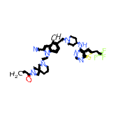 C=CC(=O)N1CC2(CCCN(CCn3c(C#N)cc4c(C)c(CN5CCC(Nc6ncnc7sc(CC(F)(F)F)cc67)CC5)ccc43)C2)C1